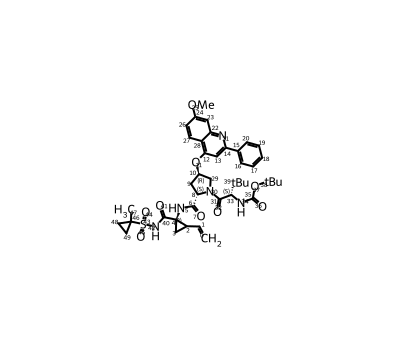 C=CC1C[C@]1(NC(=O)[C@@H]1C[C@@H](Oc2cc(-c3ccccc3)nc3cc(OC)ccc23)CN1C(=O)[C@@H](NC(=O)OC(C)(C)C)C(C)(C)C)C(=O)NS(=O)(=O)C1(C)CC1